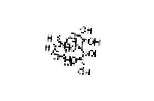 C[N+](C)(C)CC(=O)O.O=C(O)[C@H](O)[C@@H](O)[C@H](O)[C@H](O)CO